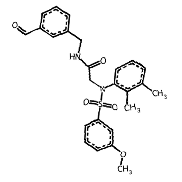 COc1cccc(S(=O)(=O)N(CC(=O)NCc2cccc(C=O)c2)c2cccc(C)c2C)c1